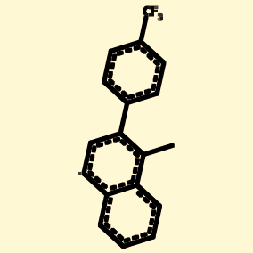 Cc1c(-c2ccc(C(F)(F)F)cc2)c[c]c2ccccc12